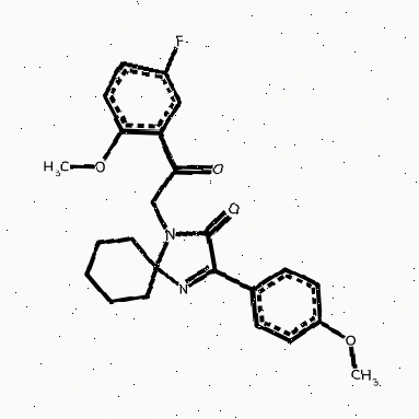 COc1ccc(C2=NC3(CCCCC3)N(CC(=O)c3cc(F)ccc3OC)C2=O)cc1